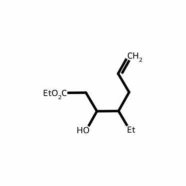 C=CCC(CC)C(O)CC(=O)OCC